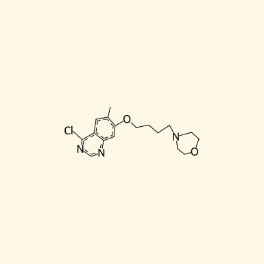 Cc1cc2c(Cl)ncnc2cc1OCCCCN1CCOCC1